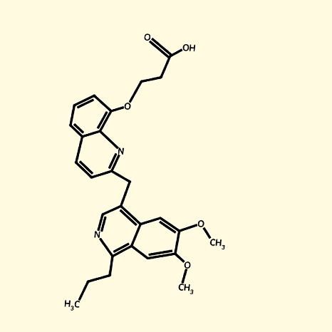 CCCc1ncc(Cc2ccc3cccc(OCCC(=O)O)c3n2)c2cc(OC)c(OC)cc12